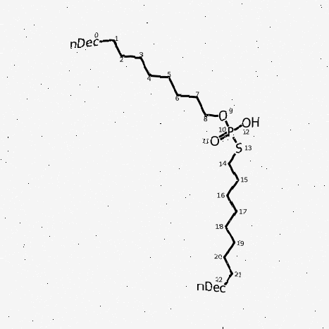 CCCCCCCCCCCCCCCCCCOP(=O)(O)SCCCCCCCCCCCCCCCCCC